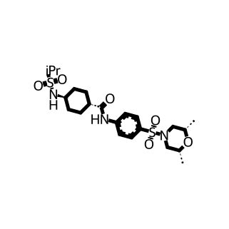 CC(C)S(=O)(=O)N[C@H]1CC[C@H](C(=O)Nc2ccc(S(=O)(=O)N3C[C@@H](C)O[C@@H](C)C3)cc2)CC1